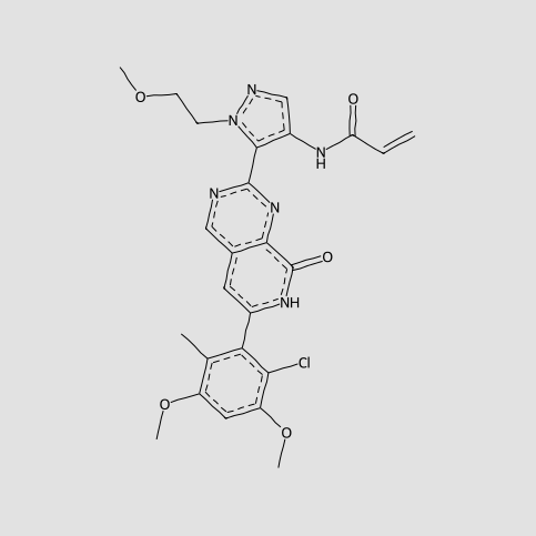 C=CC(=O)Nc1cnn(CCOC)c1-c1ncc2cc(-c3c(C)c(OC)cc(OC)c3Cl)[nH]c(=O)c2n1